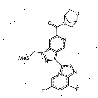 CSCn1nc(-c2cnc3c(F)cc(F)cn23)c2cnc(C(=O)N3CC4CC3CO4)cc21